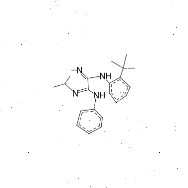 C/N=C(Nc1ccccc1C(C)(C)C)\C(=N/C(C)C)Nc1ccccc1